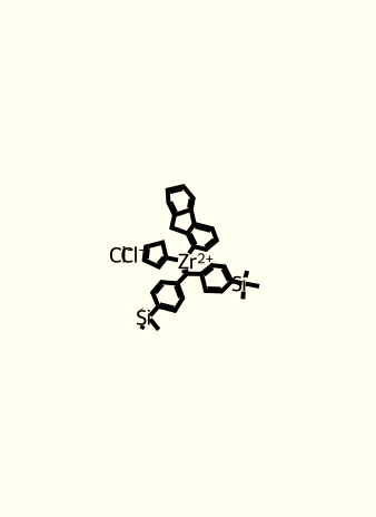 C[Si](C)(C)c1ccc([C](c2ccc([Si](C)(C)C)cc2)=[Zr+2]([C]2=CC=CC2)[c]2cccc3c2Cc2ccccc2-3)cc1.[Cl-].[Cl-]